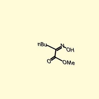 CCCCC(=NO)C(=O)OC